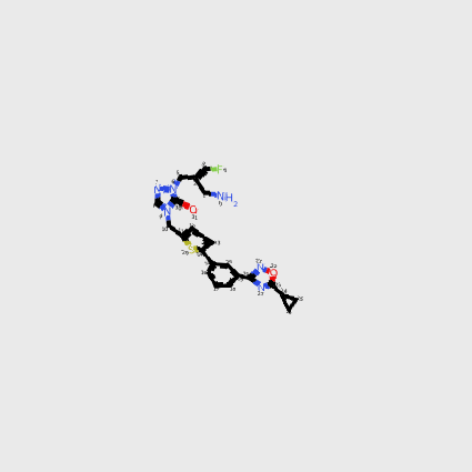 NC/C(=C\F)Cn1ncn(Cc2ccc(-c3cccc(-c4noc(C5CC5)n4)c3)s2)c1=O